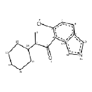 CC(C(=O)c1c(Cl)ccc2cncn12)C1CCCCC1